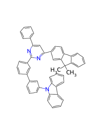 CC1(C)c2ccccc2-c2ccc(-c3cc(-c4ccccc4)nc(-c4cccc(-c5cccc(-n6c7ccccc7c7ccccc76)c5)c4)n3)cc21